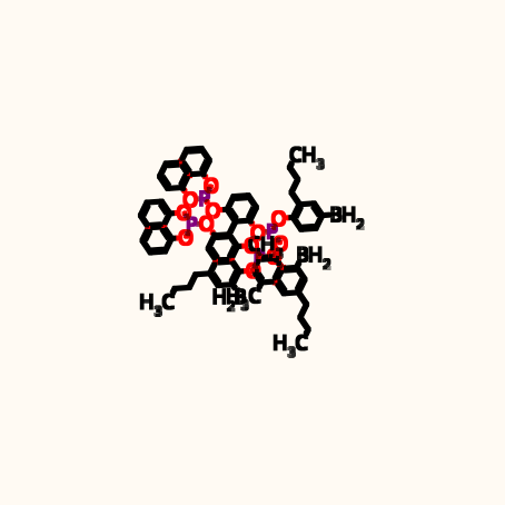 Bc1ccc(OP(Oc2ccc(C)cc2C)Oc2cccc(OP(Oc3ccccc3)Oc3ccccc3)c2-c2c(OP(Oc3ccccc3)Oc3ccccc3)cccc2OP(Oc2ccc(CCCC)cc2B)Oc2ccc(CCCC)cc2B)c(CCCC)c1